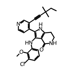 CCC(C)(C)C#Cc1cnccc1-c1[nH]c2c(c1Nc1cccc(Cl)c1OC)C(=O)NCC2